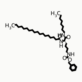 CCCCCCCCCCCCCCCCCC(=O)N[C@@H](CCCCNC(=O)OCc1ccccc1)C(=O)NCCCCCCCC